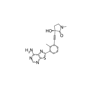 Cc1c(C#C[C@]2(O)CCN(C)C2=O)cccc1-c1nc2c(N)ncnc2s1